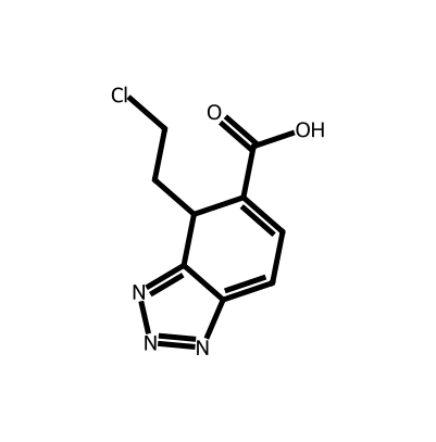 O=C(O)C1=CC=C2N=NN=C2C1CCCl